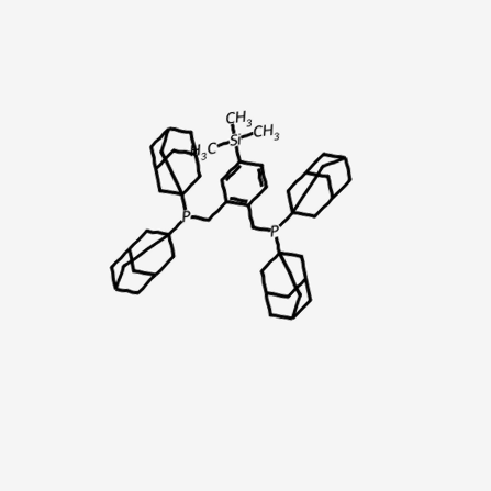 C[Si](C)(C)c1ccc(CP(C23CC4CC(CC(C4)C2)C3)C23CC4CC(CC(C4)C2)C3)c(CP(C23CC4CC(CC(C4)C2)C3)C23CC4CC(CC(C4)C2)C3)c1